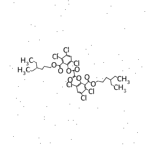 CCC(CC)CCCOC(=O)c1c(Cl)c(Cl)cc(Cl)c1OC(=O)C(=O)Oc1c(Cl)cc(Cl)c(Cl)c1C(=O)OCCCC(CC)CC